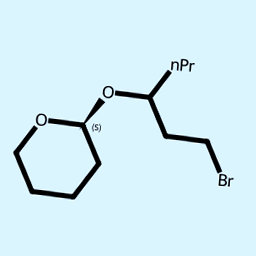 CCCC(CCBr)O[C@H]1CCCCO1